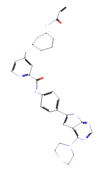 C=CC(=O)N[C@@H]1CCC[C@H](Nc2ccnc(C(=O)Nc3ccc(-c4cc5c(N6CCOCC6)ncnc5[nH]4)cc3)c2)C1